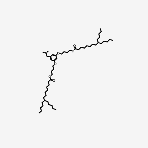 CCCCCC(CCCCC)CCCCCCCC(=O)OCCCCOc1cc(CN(C)C)cc(OCCCCOC(=O)CCCCCCCC(CCCCC)CCCCC)c1